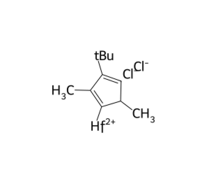 CC1=[C]([Hf+2])C(C)C=C1C(C)(C)C.[Cl-].[Cl-]